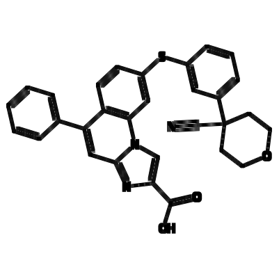 N#CC1(c2cccc(Sc3ccc4c(-c5ccccc5)cc5nc(C(=O)O)cn5c4c3)c2)CCOCC1